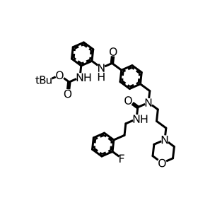 CC(C)(C)OC(=O)Nc1ccccc1NC(=O)c1ccc(CN(CCCN2CCOCC2)C(=O)NCCc2ccccc2F)cc1